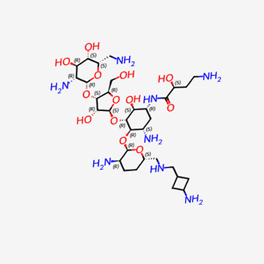 NCC[C@H](O)C(=O)N[C@@H]1C[C@H](N)[C@@H](O[C@H]2O[C@H](CNCC3CC(N)C3)CC[C@H]2N)[C@H](O[C@@H]2O[C@H](CO)[C@@H](O[C@H]3O[C@@H](CN)[C@@H](O)[C@H](O)[C@H]3N)[C@H]2O)[C@H]1O